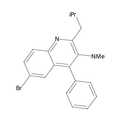 CNc1c(CC(C)C)nc2ccc(Br)cc2c1-c1ccccc1